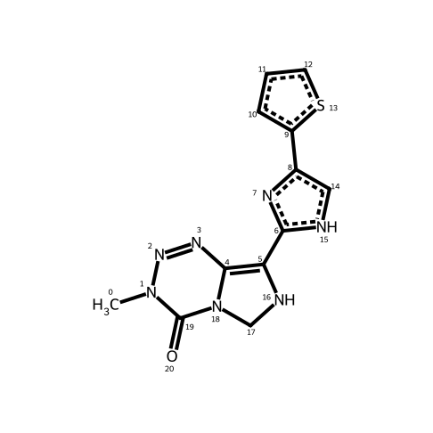 CN1N=NC2=C(c3nc(-c4cccs4)c[nH]3)NCN2C1=O